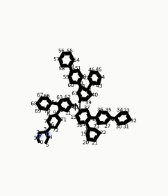 C/C=C\C(=C/C)C1C=CC(c2cc(N(c3ccc(-c4ccccc4)c(-c4ccc(-c5ccccc5)cc4)c3)c3ccc(-c4ccccc4)c(-c4ccc(-c5ccccc5)cc4)c3)ccc2-c2ccccc2)=CC1